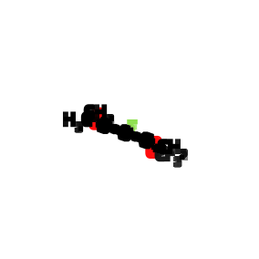 C=C(C)C(=O)Oc1ccc(C#Cc2ccc(C#Cc3ccc(OC(=O)C(=C)C(F)(F)F)cc3)c(F)c2)cc1